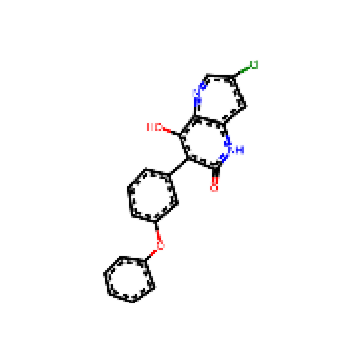 O=c1[nH]c2cc(Cl)cnc2c(O)c1-c1cccc(Oc2ccccc2)c1